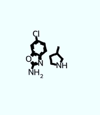 CC1CCNC1.Nc1nc2ccc(Cl)cc2o1